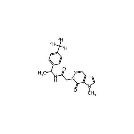 [2H]C([2H])([2H])c1ccc([C@H](C)NC(=O)Cn2ncc3ccn(C)c3c2=O)cc1